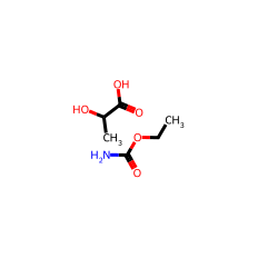 CC(O)C(=O)O.CCOC(N)=O